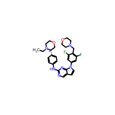 CCN1CCOC[C@@H]1c1ccc(Nc2ncc3ccn(-c4cc(F)c(CN5CCOCC5)c(F)c4)c3n2)cc1